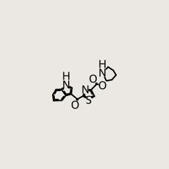 O=C(OC1CCCCN1)c1csc(C(=O)c2c[nH]c3ccccc23)n1